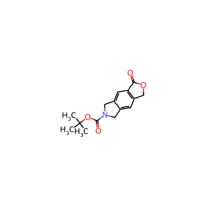 CC(C)(C)OC(=O)N1Cc2cc3c(cc2C1)C(=O)OC3